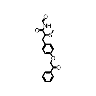 CSC(Cc1ccc(OCC(=O)c2ccccc2)cc1)C(=O)NC=O